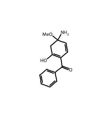 COC1(N)C=CC(C(=O)c2ccccc2)=C(O)C1